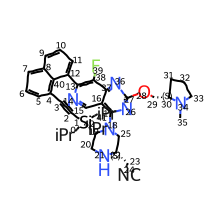 CC(C)[Si](C#Cc1cccc2cccc(-c3ncc4c(N5CCN[C@@H](CC#N)C5)nc(OC[C@@H]5CCCN5C)nc4c3F)c12)(C(C)C)C(C)C